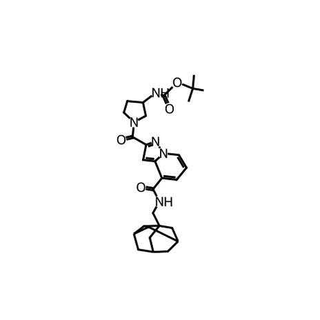 CC(C)(C)OC(=O)NC1CCN(C(=O)c2cc3c(C(=O)NCC45CC6CC(CC(C6)C4)C5)cccn3n2)C1